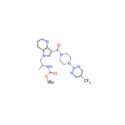 CC(Cn1cc(C(=O)N2CCN(c3ncc(C(F)(F)F)cn3)CC2)c2ncccc21)NC(=O)OC(C)(C)C